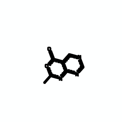 Cc1nc2ncncc2c(=O)o1